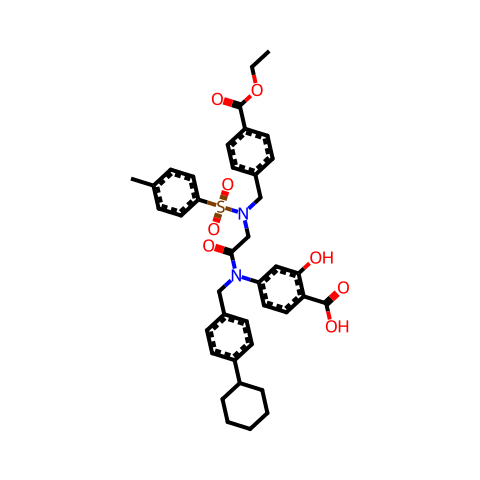 CCOC(=O)c1ccc(CN(CC(=O)N(Cc2ccc(C3CCCCC3)cc2)c2ccc(C(=O)O)c(O)c2)S(=O)(=O)c2ccc(C)cc2)cc1